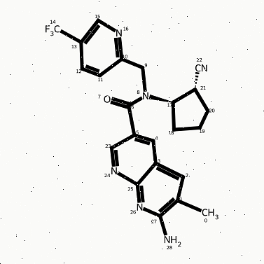 Cc1cc2cc(C(=O)N(Cc3ccc(C(F)(F)F)cn3)[C@@H]3CCC[C@H]3C#N)cnc2nc1N